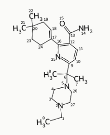 CCN1CCN(C(C)(C)c2ccc(C(N)=O)c(C3=CCC(C)(C)CC3)n2)CC1